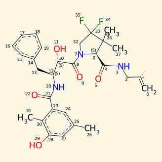 C=CCNC(=O)[C@H]1N(C(=O)[C@@H](O)[C@H](Cc2ccccc2)NC(=O)c2cc(C)cc(O)c2C)CC(F)(F)C1(C)C